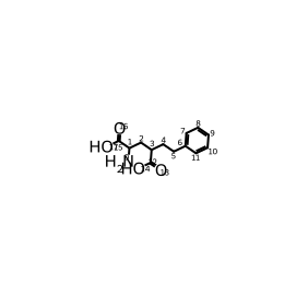 NC(CC(CCc1ccccc1)C(=O)O)C(=O)O